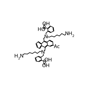 CC(=O)c1ccc2c(CN(CCCCCCCN)Cc3ccccc3B(O)O)c3ccccc3c(CN(CCCCCCCN)Cc3ccccc3B(O)O)c2c1